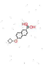 OB(O)c1ccc2cc(OC3CCC3)ccc2c1